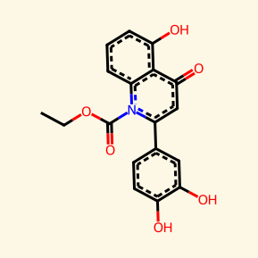 CCOC(=O)n1c(-c2ccc(O)c(O)c2)cc(=O)c2c(O)cccc21